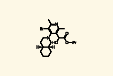 Cc1nc(C)c([C@H](O)C(=O)OC(C)C)c(N2CC[C@H]3CCCC[C@H]3C2)c1Br